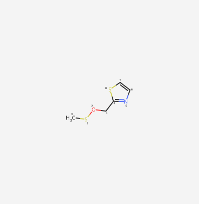 CSOCc1nccs1